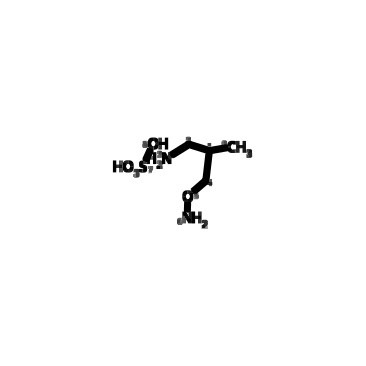 CC(CN)CON.O=S(=O)(O)O